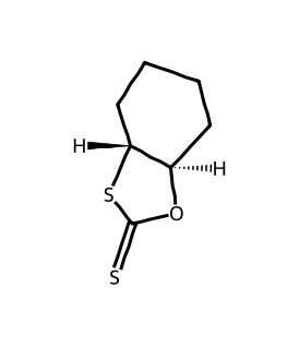 S=C1O[C@@H]2CCCC[C@H]2S1